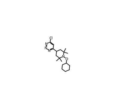 CC1(C)CC(c2cc(Cl)nnn2)CC(C)(C)N1OC1CCCCC1